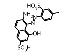 Cc1ccc(N=Nc2c(N)ccc3cc(S(=O)(=O)O)cc(O)c23)c(S(=O)(=O)O)c1